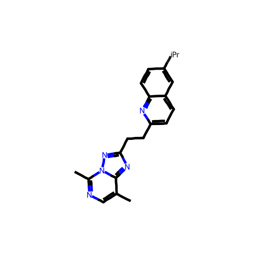 Cc1cnc(C)n2nc(CCc3ccc4cc(C(C)C)ccc4n3)nc12